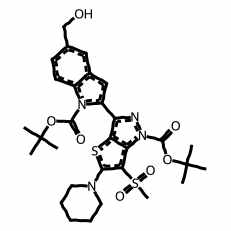 CC(C)(C)OC(=O)n1nc(-c2cc3cc(CO)ccc3n2C(=O)OC(C)(C)C)c2sc(N3CCCCC3)c(S(C)(=O)=O)c21